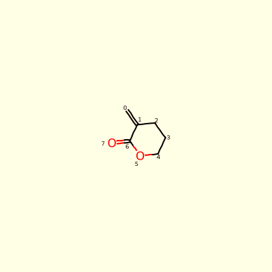 C=C1CCCOC1=O